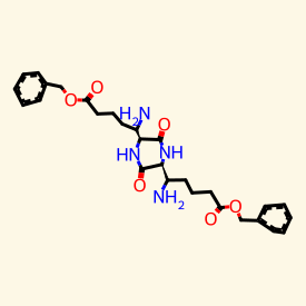 NC(CCCC(=O)OCc1ccccc1)[C@@H]1NC(=O)[C@H](C(N)CCCC(=O)OCc2ccccc2)NC1=O